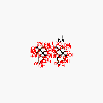 O=C(O)C(C(CS(=O)(=O)O)(S(=O)(=O)O)S(=O)(=O)O)(C(C(=O)O)(S(=O)(=O)O)S(=O)(=O)O)S(=O)(=O)O.O=C(O)C(C(CS(=O)(=O)O)(S(=O)(=O)O)S(=O)(=O)O)(C(C(=O)O)(S(=O)(=O)O)S(=O)(=O)O)S(=O)(=O)O.[NaH]